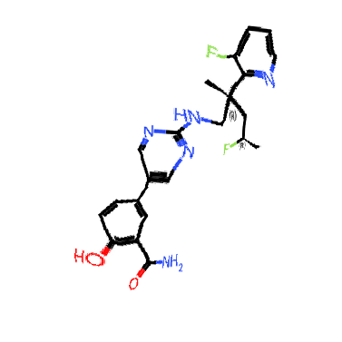 C[C@@H](F)C[C@](C)(CNc1ncc(-c2ccc(O)c(C(N)=O)c2)cn1)c1ncccc1F